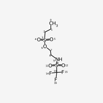 CCCS(=O)(=O)OCCNS(=O)(=O)C(F)(F)F